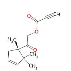 C#CC(=O)OCC(=O)[C@@]1(C)CC=CC1(C)C